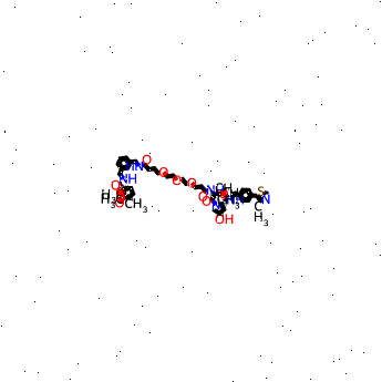 Cc1ncsc1-c1ccc(CNC(=O)[C@@H]2C[C@@H](O)CN2C(=O)[C@@H](NC(=O)CCOCCOCCOCCCC(=O)NCc2cccc(CNC(=O)[C@@]34CC[C@](C)(C(=O)O3)C4(C)C)c2)C(C)(C)C)cc1